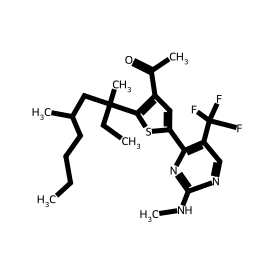 CCCCC(C)CC(C)(CC)c1sc(-c2nc(NC)ncc2C(F)(F)F)cc1C(C)=O